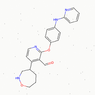 O=Cc1c(C2CCCONC2)ccnc1Oc1ccc(Nc2ccccn2)cc1